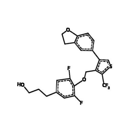 OCCCc1cc(F)c(OCc2c(-c3ccc4c(c3)CCO4)csc2C(F)(F)F)c(F)c1